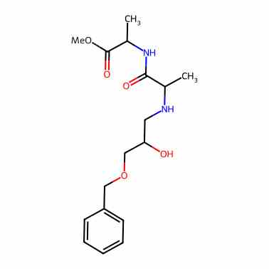 COC(=O)C(C)NC(=O)C(C)NCC(O)COCc1ccccc1